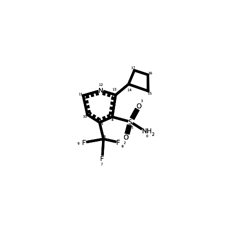 NS(=O)(=O)c1c(C(F)(F)F)ccnc1C1CCC1